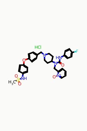 CS(=O)(=O)Nc1ccc(Oc2ccc(CN3CCC(N(Cc4cccc[n+]4[O-])C(=O)Nc4ccc(F)cc4)CC3)cc2)cc1.Cl